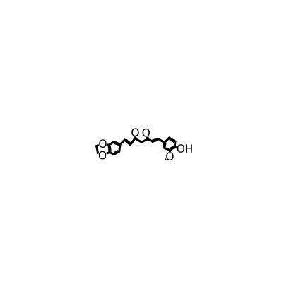 COc1cc(C=CC(=O)CC(=O)C=Cc2ccc3c(c2)OCCO3)ccc1O